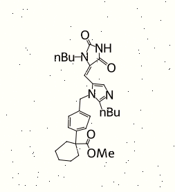 CCCCc1ncc(/C=C2\C(=O)NC(=O)N2CCCC)n1Cc1ccc(C2(C(=O)OC)CCCCC2)cc1